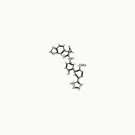 COc1ccc(-c2nnn[nH]2)cc1-c1cc(NC(=O)C2(c3ccc4c(c3)OCO4)CC2)ccc1C